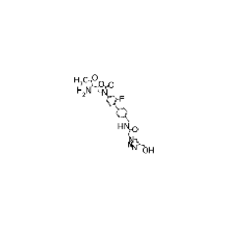 CC(=O)[C@@H](N)C1CN(c2ccc(-c3ccc(CNC(=O)Cn4cc(CO)nn4)cc3)c(F)c2)C(=O)O1